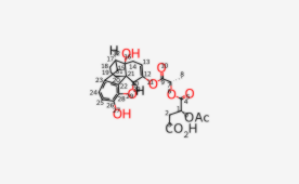 CC(=O)O[C@@H](CC(=O)O)C(=O)O[C@@H](C)C(=O)OC1=CC[C@@]2(O)[C@@H]3CCC[C@@]24c2c(ccc(O)c2O[C@@H]14)C3